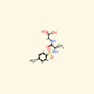 Cc1ccc(S(=O)(=O)NC(C)C(=O)NCC(O)O)cc1